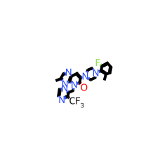 Cc1cnc2cc(N3CCN(c4c(C)cccc4F)CC3)c(=O)n(Cc3nccnc3C(F)(F)F)c2n1